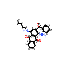 CCCCCNc1cc(C(=O)c2ccccc2)c(N)c2c1C(=O)c1ccccc1C2=O